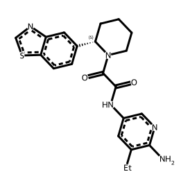 CCc1cc(NC(=O)C(=O)N2CCCC[C@H]2c2ccc3scnc3c2)cnc1N